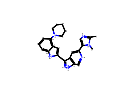 Cc1ncc(-c2cc3c(-c4cc5c(N6CCCCC6)cccc5[nH]4)n[nH]c3cn2)n1C